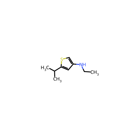 CCNc1csc(C(C)C)c1